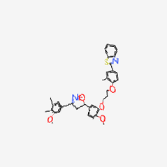 COc1ccc(C2CC(c3cc(C)c(C)c(OC)c3)=NO2)cc1OCCCOc1ccc(-c2nc3ccccc3s2)cc1C